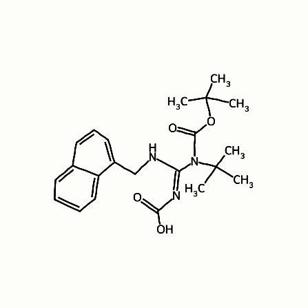 CC(C)(C)OC(=O)N(C(=NC(=O)O)NCc1cccc2ccccc12)C(C)(C)C